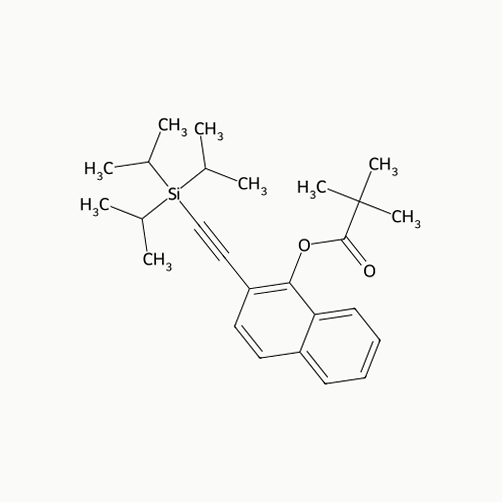 CC(C)[Si](C#Cc1ccc2ccccc2c1OC(=O)C(C)(C)C)(C(C)C)C(C)C